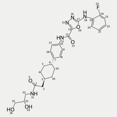 O=C(C[C@H]1CC[C@H](c2ccc(NC(=O)c3nnc(Nc4ccccc4F)o3)cc2)CC1)NCC(O)CO